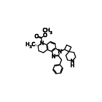 COC(=O)N1c2ccc3c(nc(Cc4ccccc4)n3[C@H]3CCC34CCNCC4)c2CC[C@@H]1C